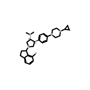 CN(C)[C@H]1CN(C2CCc3cccc(F)c32)C[C@@H]1c1ccc(N2CCN(C3CC3)CC2)cc1